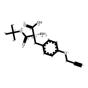 C#CCOc1ccc(C[C@](N)(C(=O)O)C(=O)OC(C)(C)C)cc1